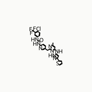 Cc1cc(Nc2cc(-c3cccs3)n[nH]2)nc(Cc2ccc(NC(=O)Nc3ccc(Cl)c(C(F)(F)F)c3)nc2)n1